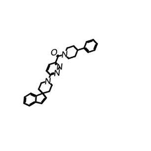 O=C(c1ccc(N2CCC3(C=Cc4ccccc43)CC2)nn1)N1CCC(c2ccccc2)CC1